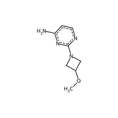 COC1CN(c2nccc(N)n2)C1